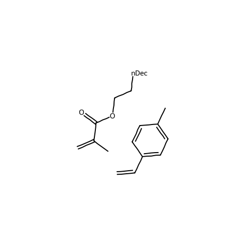 C=C(C)C(=O)OCCCCCCCCCCCC.C=Cc1ccc(C)cc1